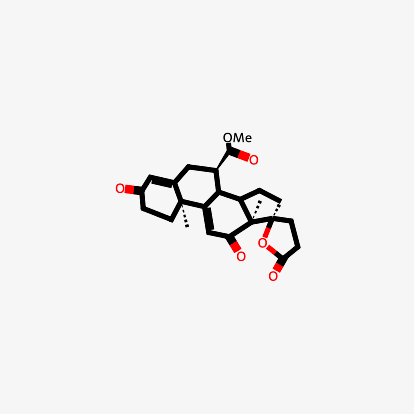 COC(=O)[C@@H]1CC2=CC(=O)CC[C@]2(C)C2=CC(=O)[C@@]3(C)C(CC[C@@]34CCC(=O)O4)C21